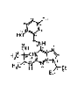 CCC(CC)n1cnc2c(NCc3cc(F)ccc3O)nc(NC(C)C(C)(C)O)nc21